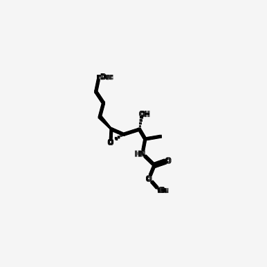 CCCCCCCCCCCCC[C@@H]1O[C@H]1[C@H](O)C(C)NC(=O)OC(C)(C)C